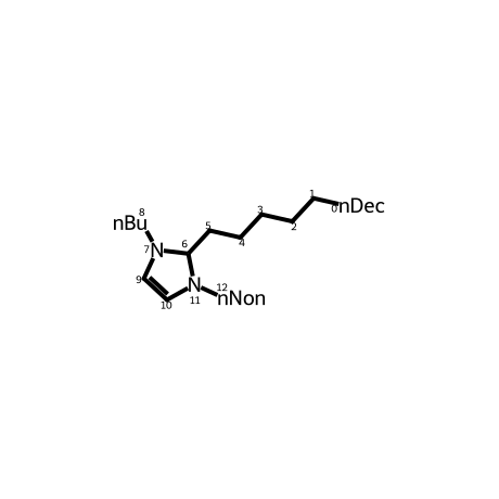 CCCCCCCCCCCCCCCC1N(CCCC)C=CN1CCCCCCCCC